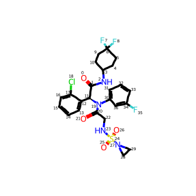 O=C(NC1CCC(F)(F)CC1)[C@H](c1ccccc1Cl)N(C(=O)CNS(=O)(=O)N1CC1)c1cccc(F)c1